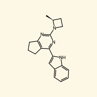 C[C@H]1CCN1c1nc2c(c(-c3cc4ccccc4[nH]3)n1)CCC2